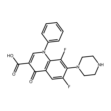 O=C(O)c1cn(-c2ccccc2)c2c(F)c(N3CCNCC3)c(F)cc2c1=O